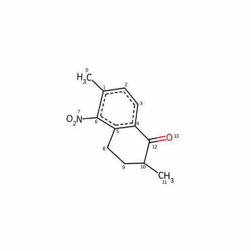 Cc1ccc2c(c1[N+](=O)[O-])CCC(C)C2=O